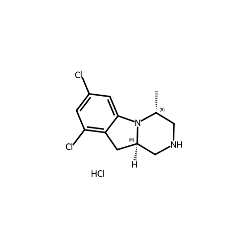 C[C@@H]1CNC[C@H]2Cc3c(Cl)cc(Cl)cc3N21.Cl